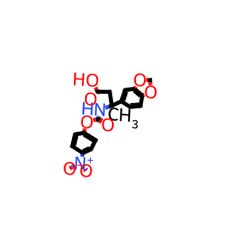 C[C@](CC(=O)O)(NC(=O)Oc1ccc([N+](=O)[O-])cc1)c1ccc2c(c1)OCO2